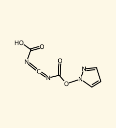 O=C(O)N=C=NC(=O)On1cccn1